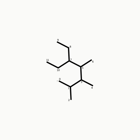 [CH2]C(C)C(C)C(C)C(CC)CC